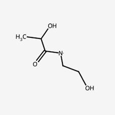 CC(O)C(=O)[N]CCO